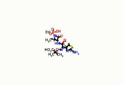 CCOP(=O)(O)N1C(=O)[C@H](NC(=O)/C(=N\OC(C)(C)C(=O)O)c2csc(N)n2)[C@H]1C